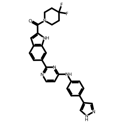 O=C(c1cc2ccc(-c3nccc(Nc4ccc(-c5cn[nH]c5)cc4)n3)cc2[nH]1)N1CCC(F)(F)CC1